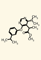 COC(=O)C(C)c1c(Oc2cccc(C(C)C)c2)ncnc1N(C)C